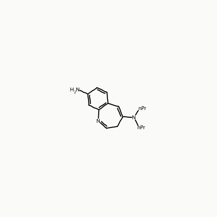 CCCN(CCC)C1=Cc2ccc(N)cc2N=CC1